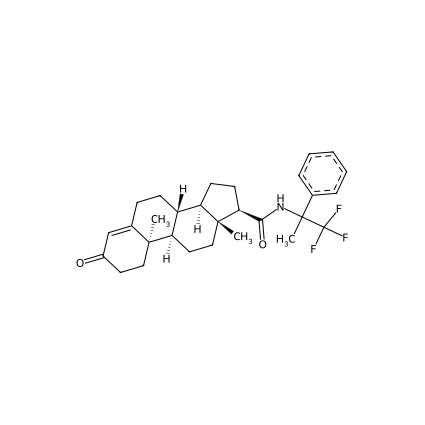 CC(NC(=O)[C@@H]1CC[C@@H]2[C@H]3CCC4=CC(=O)CC[C@]4(C)[C@@H]3CC[C@]21C)(c1ccccc1)C(F)(F)F